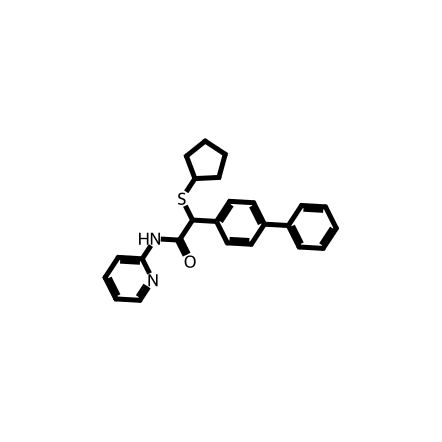 O=C(Nc1ccccn1)C(SC1CCCC1)c1ccc(-c2ccccc2)cc1